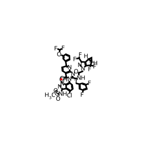 Cn1nc(NS(C)(=O)=O)c2c(Cl)ccc(-n3c([C@H](Cc4cc(F)cc(F)c4)NC(=O)Cn4nc(C(F)F)c5c4C(F)(F)[C@@H]4C[C@H]54)nc4nc(-c5cccc(OC(F)F)c5)ccc4c3=O)c21